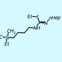 CCCCCCCN=C(NCCCC[Si](C)(C)CC)SCC